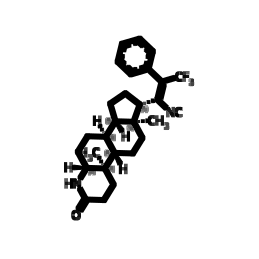 [C-]#[N+]C(=C(c1ccccc1)C(F)(F)F)[C@H]1CC[C@H]2[C@@H]3CC[C@H]4NC(=O)CC[C@]4(C)[C@H]3CC[C@]12C